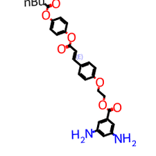 CCCCC(=O)Oc1ccc(OC(=O)/C=C/c2ccc(OCCOC(=O)c3cc(N)cc(N)c3)cc2)cc1